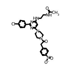 CC(=O)NCCNc1cc(N2CCN(C(=O)Cc3ccc([N+](=O)[O-])cc3)CC2)nc(-c2ccc(Cl)cc2)n1